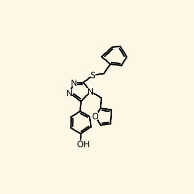 Oc1ccc(-c2nnc(SCc3ccccc3)n2Cc2ccco2)cc1